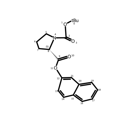 CC(C)(C)OC(=O)N1CCC[C@H]1C(=O)Oc1ccc2ccccc2c1